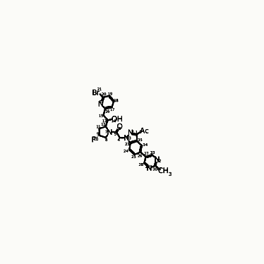 CC(=O)c1nn(CC(=O)N2C[C@H](F)CC2C(O)Cc2cccc(Br)n2)c2ccc(-c3cnc(C)nc3)cc12